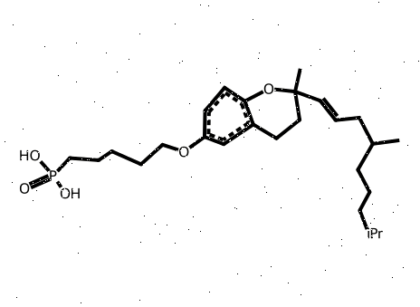 CC(C)CCCC(C)CC=CC1(C)CCc2cc(OCCCCCP(=O)(O)O)ccc2O1